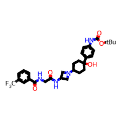 CC(C)(C)OC(=O)Nc1ccc(C2(O)CCC(N3CC(NC(=O)CNC(=O)c4cccc(C(F)(F)F)c4)C3)CC2)cc1